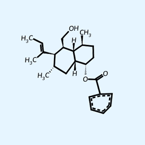 C/C=C(\C)[C@H]1[C@@H](CO)[C@H]2[C@@H](C[C@@H]1C)[C@@H](OC(=O)c1ccccc1)CC[C@@H]2C